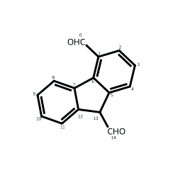 O=Cc1cccc2c1-c1ccccc1C2C=O